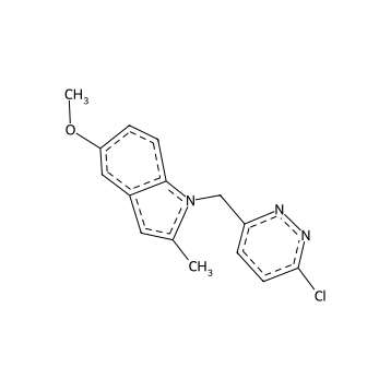 COc1ccc2c(c1)cc(C)n2Cc1ccc(Cl)nn1